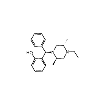 CCN1C[C@@H](C)N([C@H](c2ccccc2)c2ccccc2O)C[C@@H]1C